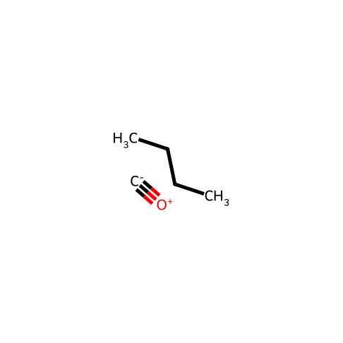 CCCC.[C-]#[O+]